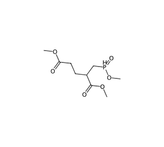 COC(=O)CCC(C[PH](=O)OC)C(=O)OC